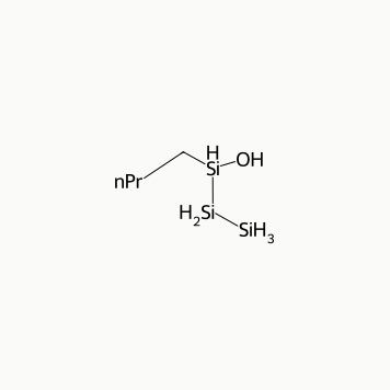 CCCC[SiH](O)[SiH2][SiH3]